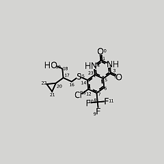 O=c1[nH]c(=O)c2cc(C(F)(F)F)c(Cl)c(SCC(CO)C3CC3)c2[nH]1